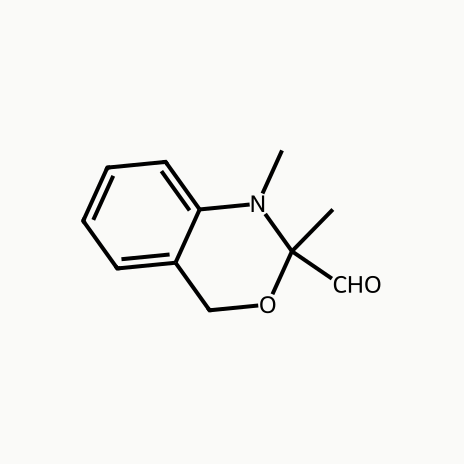 CN1c2ccccc2COC1(C)C=O